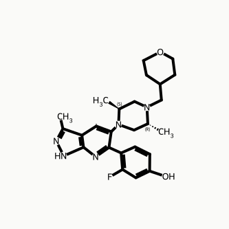 Cc1n[nH]c2nc(-c3ccc(O)cc3F)c(N3C[C@@H](C)N(CC4CCOCC4)C[C@@H]3C)[c]c12